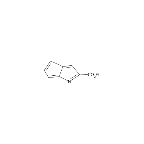 CCOC(=O)C1=NC2=CC=CC2=C1